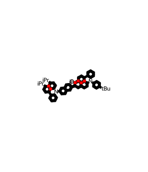 CC(C)c1ccc(-c2ccccc2N(c2ccc(C(C)C)cc2)c2ccc3cc4c(cc3c2)oc2cc3cc(N(c5ccc(C(C)(C)C)cc5)c5ccccc5-c5ccc(C(C)C)cc5)ccc3cc24)cc1